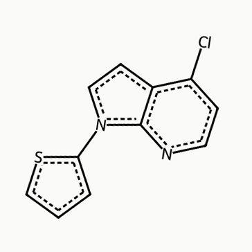 Clc1ccnc2c1ccn2-c1cccs1